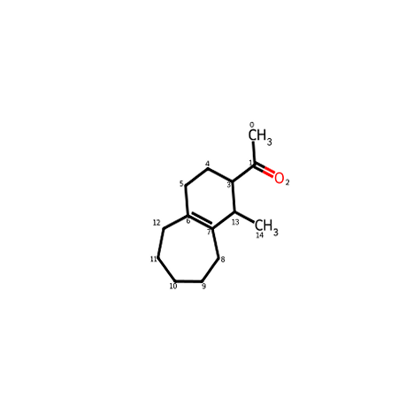 CC(=O)C1CCC2=C(CCCCC2)C1C